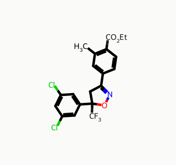 CCOC(=O)c1ccc(C2=NOC(c3cc(Cl)cc(Cl)c3)(C(F)(F)F)C2)cc1C